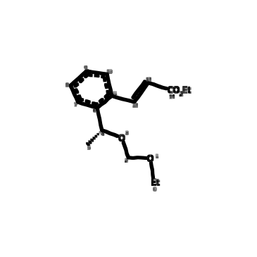 CCOCO[C@H](C)c1ccccc1/C=C/C(=O)OCC